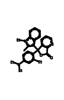 CCc1cc(N(CC)CC)ccc1C1(c2c(C)n(CC)c3ccccc23)OC(=O)c2ncccc21